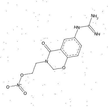 N=C(N)Nc1ccc2c(c1)C(=O)N(CCO[N+](=O)[O-])CO2